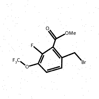 COC(=O)c1c(CBr)ccc(OC(F)(F)F)c1F